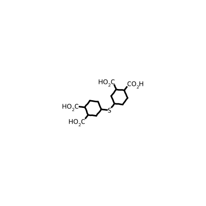 O=C(O)C1CCC(SC2CCC(C(=O)O)C(C(=O)O)C2)CC1C(=O)O